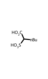 CCCCC(C(=O)O)S(=O)(=O)O